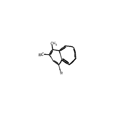 Cc1c(C#N)cc(Br)c2ccccc12